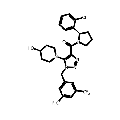 O=C(c1nnn(Cc2cc(C(F)(F)F)cc(C(F)(F)F)c2)c1N1CCC(O)CC1)N1CCC[C@@H]1c1ccccc1Cl